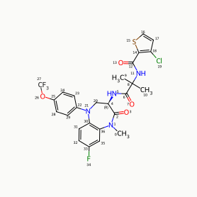 CN1C(=O)[C@H](NC(=O)C(C)(C)NC(=O)c2sccc2Cl)CN(c2ccc(OC(F)(F)F)cc2)c2ccc(F)cc21